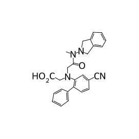 CN(C(=O)CN(CC(=O)O)c1cc(C#N)ccc1-c1ccccc1)N1Cc2ccccc2C1